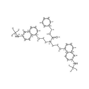 CC(C)(C)Nc1ccc2c(OCCN(CCOc3cccc4nc(NC(C)(C)C)ccc34)C(=O)OCc3ccccc3)cccc2n1